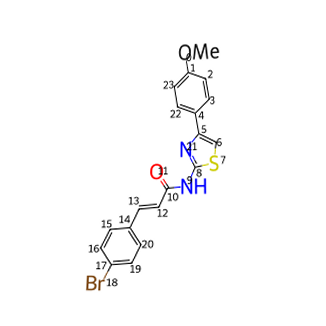 COc1ccc(-c2csc(NC(=O)C=Cc3ccc(Br)cc3)n2)cc1